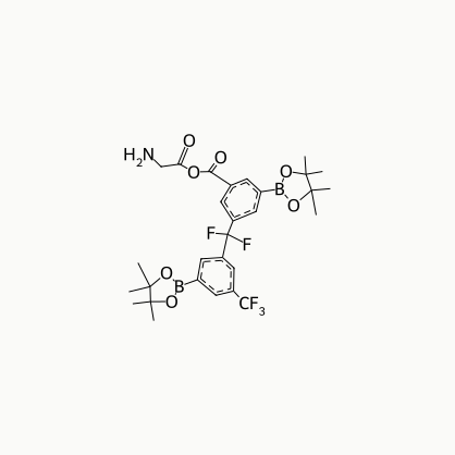 CC1(C)OB(c2cc(C(=O)OC(=O)CN)cc(C(F)(F)c3cc(B4OC(C)(C)C(C)(C)O4)cc(C(F)(F)F)c3)c2)OC1(C)C